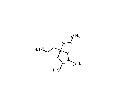 [SiH3]CC[Si](CC[SiH3])(CC[SiH3])CC[SiH3]